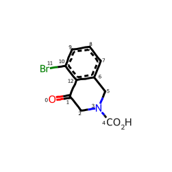 O=C1CN(C(=O)O)Cc2cccc(Br)c21